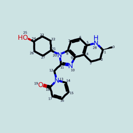 C[C@H]1CCc2c(ccc3c2nc(Cn2ccccc2=O)n3C2CCC(O)CC2)N1